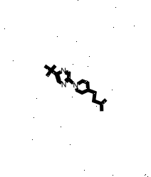 CC(C)CCC1CCN(c2cnc(C(C)(C)C)cn2)CC1